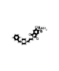 NS(=O)(=O)c1cc2c(cc1Cl)C(=O)N(CCCN1CCN(Cc3ccccc3)CC1)C2=O